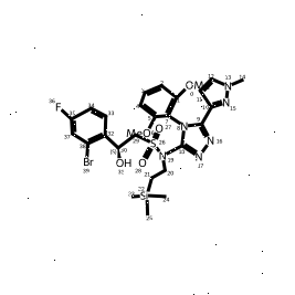 COc1cccc(OC)c1-n1c(-c2ccn(C)n2)nnc1N(CC[Si](C)(C)C)S(=O)(=O)C[C@@H](O)c1ccc(F)cc1Br